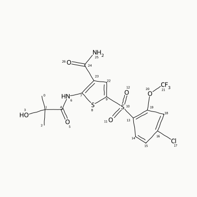 CC(C)(O)C(=O)Nc1sc(S(=O)(=O)c2ccc(Cl)cc2OC(F)(F)F)cc1C(N)=O